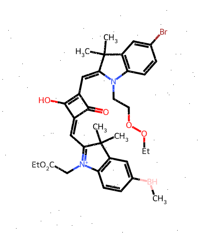 CBc1ccc2c(c1)C(C)(C)C(C=C1C(=O)C(C=C3N(CCOOCC)c4ccc(Br)cc4C3(C)C)=C1O)=[N+]2CC(=O)OCC